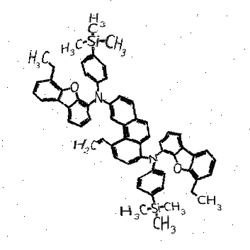 C=Cc1ccc(N(c2ccc([Si](C)(C)C)cc2)c2cccc3c2oc2c(CC)cccc23)c2ccc3ccc(N(c4ccc([Si](C)(C)C)cc4)c4cccc5c4oc4c(CC)cccc45)cc3c12